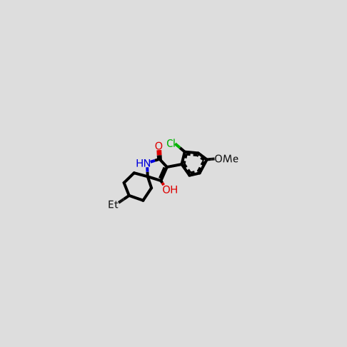 CCC1CCC2(CC1)NC(=O)C(c1ccc(OC)cc1Cl)=C2O